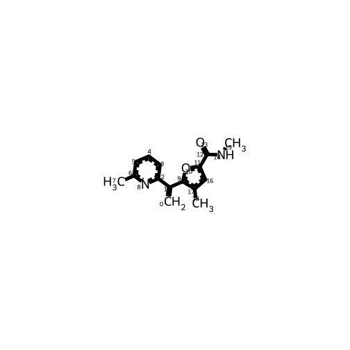 C=C(c1cccc(C)n1)c1oc(C(=O)NC)cc1C